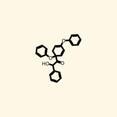 O=C(C(O)c1ccccc1)C1(Oc2ccccc2)C=CC(Oc2ccccc2)=CC1